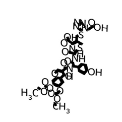 CCOC(=O)Oc1cc2occ(C(=O)NC(C(=O)N[C@@H]3C(=O)N4C(C(=O)O)=C(CSc5nnnn5CC(=O)O)CS[C@@H]34)c3ccc(O)cc3)c(=O)c2cc1OC(=O)OCC